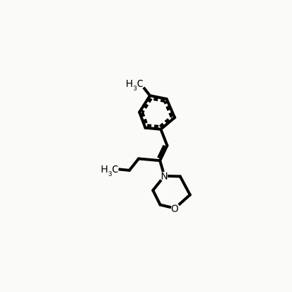 CCC/C(=C\c1ccc(C)cc1)N1CCOCC1